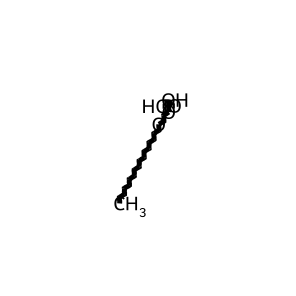 CCCCCCCCCCCCCCCCCOCCOP(=O)(O)O